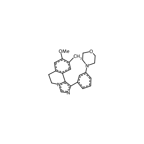 COc1cc2c(cc1C)-c1c(-c3cccc(N4CCOCC4)c3)ncn1CC2